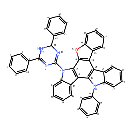 c1ccc(C2=NC(n3c4ccccc4c4c3c3oc5ccccc5c3c3c5ccccc5n(-c5ccccc5)c34)=NC(c3ccccc3)N2)cc1